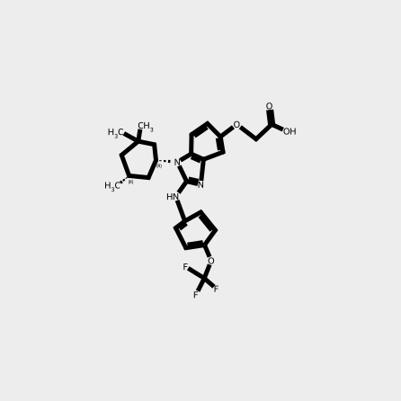 C[C@H]1C[C@@H](n2c(Nc3ccc(OC(F)(F)F)cc3)nc3cc(OCC(=O)O)ccc32)CC(C)(C)C1